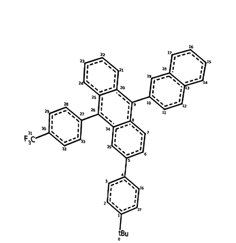 CC(C)(C)c1ccc(-c2ccc3c(-c4ccc5ccccc5c4)c4ccccc4c(-c4ccc(C(F)(F)F)cc4)c3c2)cc1